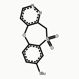 CC(C)(C)c1ccc2c(c1)S(=O)(=O)Cc1nnccc1O2